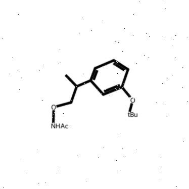 CC(=O)NOCC(C)c1cccc(OC(C)(C)C)c1